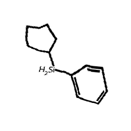 c1ccc([SiH2]C2CCCC2)cc1